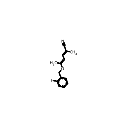 C/C(C#N)=C\C=C(/C)OCc1ccccc1F